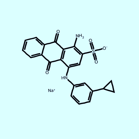 Nc1c(S(=O)(=O)[O-])cc(Nc2cccc(C3CC3)c2)c2c1C(=O)c1ccccc1C2=O.[Na+]